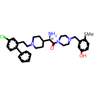 CSc1ccc(O)cc1CN1CCN(C(=O)[C@H](N)C2CCN(CCc3cc(Cl)ccc3-c3ccccc3)CC2)CC1